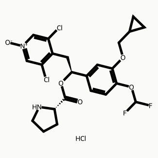 Cl.O=C(O[C@@H](Cc1c(Cl)c[n+]([O-])cc1Cl)c1ccc(OC(F)F)c(OCC2CC2)c1)[C@@H]1CCCN1